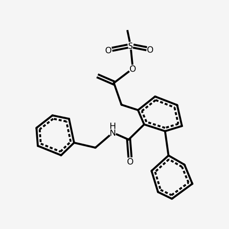 C=C(Cc1cccc(-c2ccccc2)c1C(=O)NCc1ccccc1)OS(C)(=O)=O